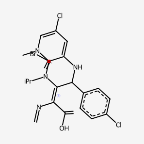 C=N/C(C(=C)O)=C(/C(NC1=CC(Cl)=CN(C)C1=C)c1ccc(Cl)cc1)N(CBr)C(C)C